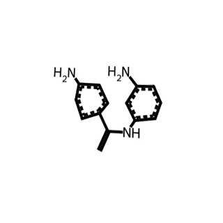 C=C(Nc1cccc(N)c1)c1ccc(N)cc1